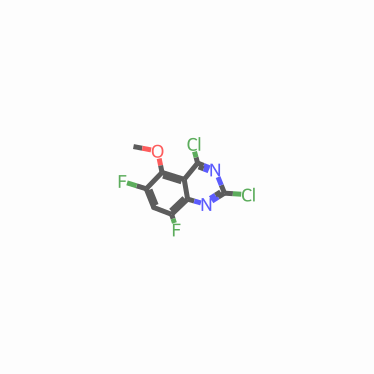 COc1c(F)cc(F)c2nc(Cl)nc(Cl)c12